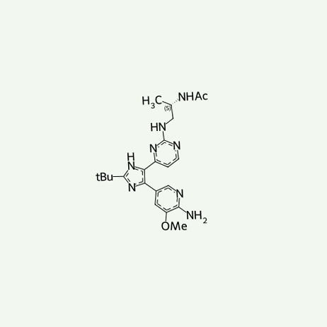 COc1cc(-c2nc(C(C)(C)C)[nH]c2-c2ccnc(NC[C@H](C)NC(C)=O)n2)cnc1N